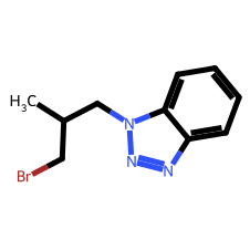 CC(CBr)Cn1nnc2ccccc21